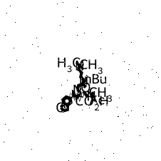 CCCCN(CCCN(C)C)C(=O)CN1C[C@H](c2ccc3c(c2)CCO3)[C@@H](C(=O)O)[C@@H]1CCN(C)C(C)=O